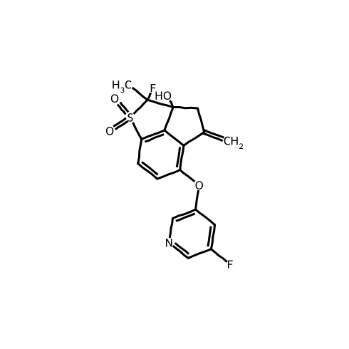 C=C1CC2(O)c3c(ccc(Oc4cncc(F)c4)c31)S(=O)(=O)C2(C)F